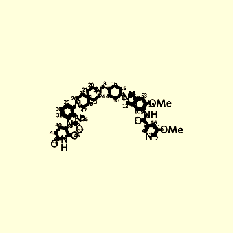 COc1cncc(C(=O)Nc2cc3cn([C@H]4CC[C@H](CN5CCC6(CC5)CCN(c5cccc7c5n(C)c(=O)n7C5CCC(=O)NC5=O)CC6)CC4)nc3cc2OC)c1